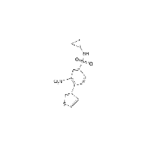 O=[N+]([O-])c1cc(S(=O)(=O)NC2CC2)ccc1-c1ccsc1